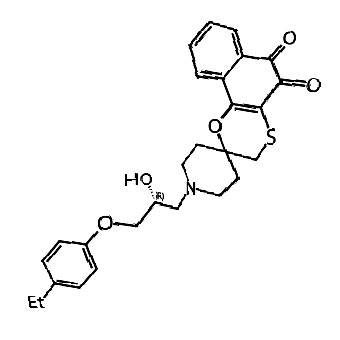 CCc1ccc(OC[C@H](O)CN2CCC3(CC2)CSC2=C(O3)c3ccccc3C(=O)C2=O)cc1